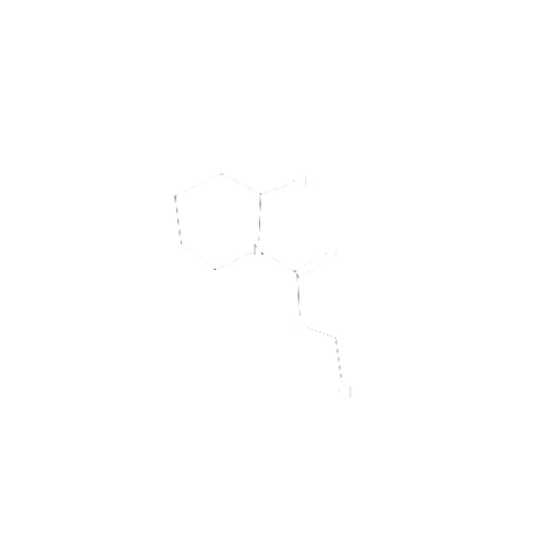 CCOC(=O)N1CCC[CH]C1C